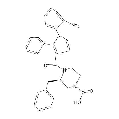 Nc1ccccc1-n1ccc(C(=O)N2CCN(C(=O)O)C[C@H]2Cc2ccccc2)c1-c1ccccc1